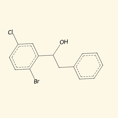 OC(Cc1ccccc1)c1cc(Cl)ccc1Br